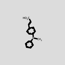 CN(c1ccccc1)c1ccc(C=CC(=O)O)cc1